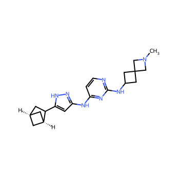 CN1CC2(CC(Nc3nccc(Nc4cc(C5C[C@H]6C[C@@H]5C6)[nH]n4)n3)C2)C1